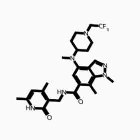 Cc1cc(C)c(CNC(=O)c2cc(N(C)C3CCN(CC(F)(F)F)CC3)c3cnn(C)c3c2C)c(=O)[nH]1